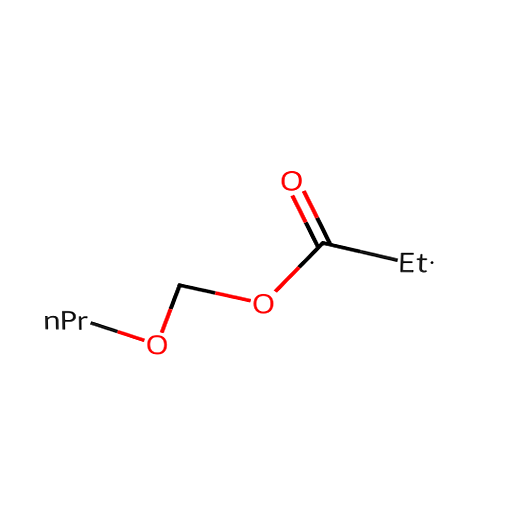 C[CH]C(=O)OCOCCC